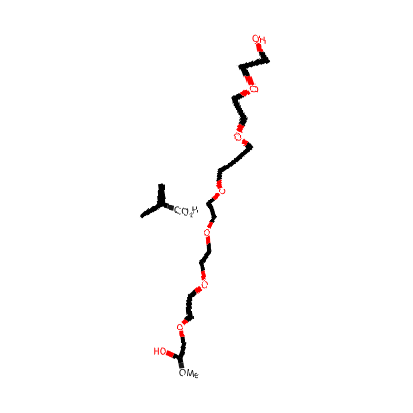 C=C(C)C(=O)O.COC(O)COCCOCCOCCOCCOCCOCCO